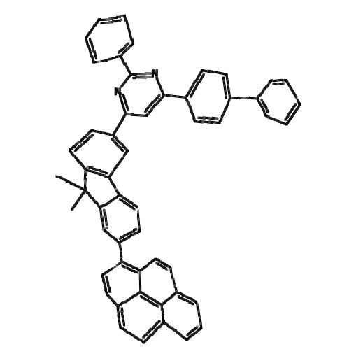 CC1(C)c2ccc(-c3cc(-c4ccc(-c5ccccc5)cc4)nc(-c4ccccc4)n3)cc2-c2ccc(-c3ccc4ccc5cccc6ccc3c4c56)cc21